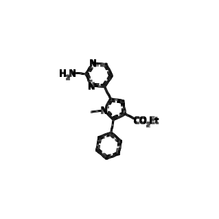 CCOC(=O)c1cc(-c2ccnc(N)n2)n(C)c1-c1ccccc1